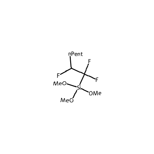 CCCCCC(F)C(F)(F)[Si](OC)(OC)OC